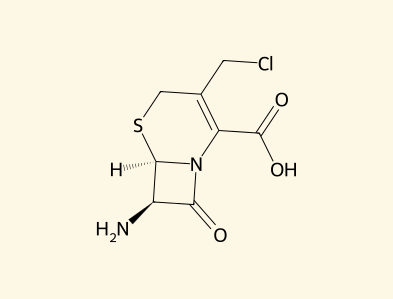 N[C@@H]1C(=O)N2C(C(=O)O)=C(CCl)CS[C@H]12